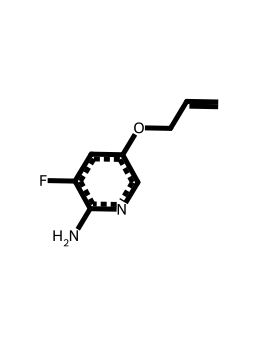 C=CCOc1cnc(N)c(F)c1